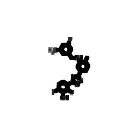 Cc1ccc(-c2noc(-c3ccc(F)c(O)c3F)n2)cc1NCc1cc(F)cc(C(F)(F)F)c1